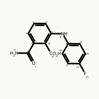 NC(=O)c1cccc(Nc2ccc(F)cc2)c1C(=O)O